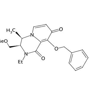 CCN1C(=O)c2c(OCc3ccccc3)c(=O)ccn2[C@H](C)[C@@H]1COC